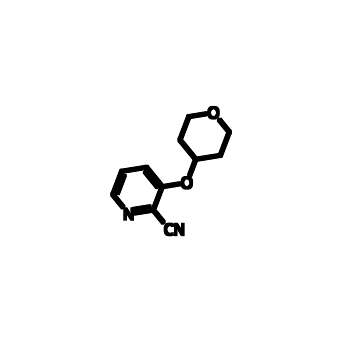 N#Cc1ncccc1OC1CCOCC1